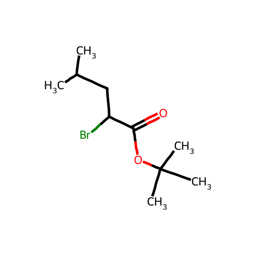 CC(C)CC(Br)C(=O)OC(C)(C)C